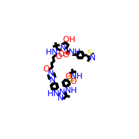 Cc1cnc(Nc2ccc(N3CCN(C(=O)CCCCC(=O)NC(C(=O)N4C[C@H](O)C[C@H]4C(=O)NCc4ccc(-c5scnc5C)cc4)C(C)(C)C)CC3)cc2)nc1Nc1cccc(S(=O)(=O)NC(C)(C)C)c1